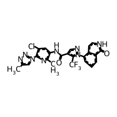 Cc1cn(-c2nc(C)c(NC(=O)c3cnn(-c4cccc5c(=O)[nH]ccc45)c3C(F)(F)F)cc2Cl)nn1